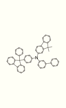 CC1(C)c2ccccc2-c2ccc(N(c3ccc(C4(c5ccccc5)c5ccccc5-c5ccccc54)cc3)c3cccc(-c4ccccc4)c3)cc21